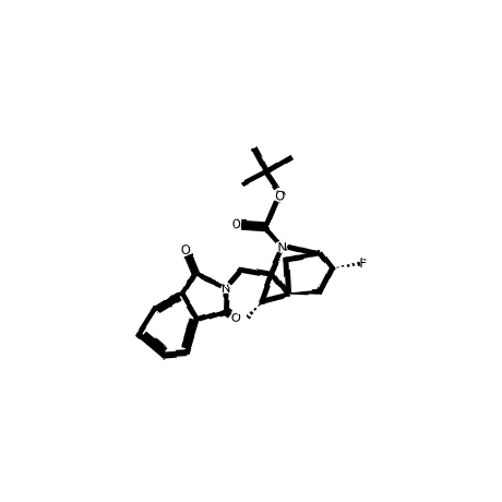 C[C@@H]1C2(CN3C(=O)c4ccccc4C3=O)N(C(=O)OC(C)(C)C)C3C[C@]12C[C@H]3F